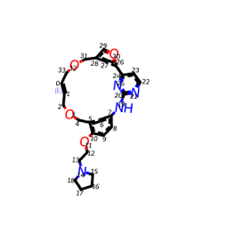 C1=C/COCc2cc(ccc2OCCN2CCCC2)Nc2nccc(n2)-c2cc(co2)COC/1